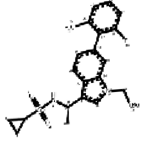 C[C@@H](NS(=O)(=O)C1CC1)c1cn(CC(C)(C)C)c2cc(-c3c(F)cccc3C(F)(F)F)ccc12